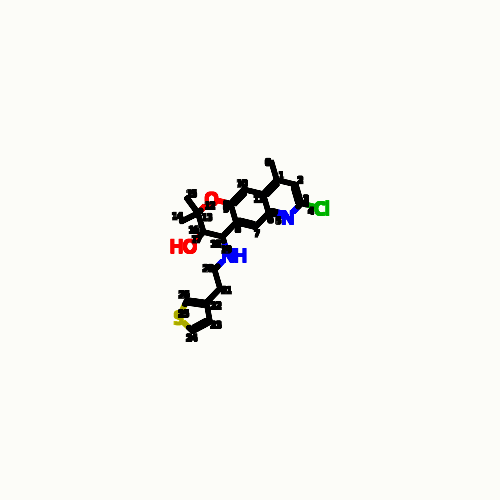 Cc1cc(Cl)nc2cc3c(cc12)OC(C)(C)C(O)C3NCCc1ccsc1